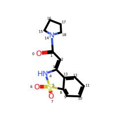 O=C(C=C1NS(=O)(=O)c2ccccc21)N1CCCC1